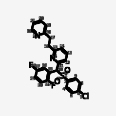 O=S(=O)(c1ccc(Cl)cc1)C(c1cccc(CCc2ccccn2)n1)c1cc(F)ccc1F